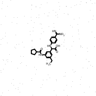 CCc1cc(NC(=O)C2CCCC2)cc(C(Nc2ccc(C(=N)N)cc2)C(=O)O)c1